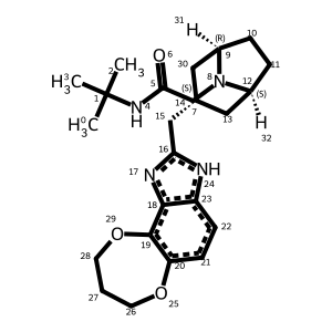 CC(C)(C)NC(=O)CN1[C@@H]2CC[C@H]1C[C@H](Cc1nc3c4c(ccc3[nH]1)OCCCO4)C2